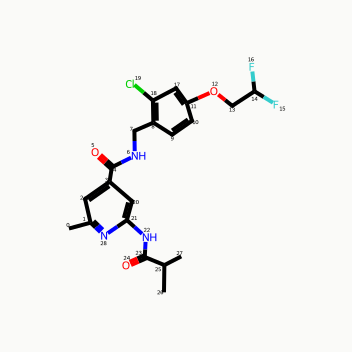 Cc1cc(C(=O)NCc2ccc(OCC(F)F)cc2Cl)cc(NC(=O)C(C)C)n1